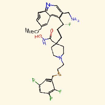 COc1ccc2ncc(CN)c([C@H](F)CCC3(C(=O)NO)CCN(CCSc4cc(F)cc(F)c4F)CC3)c2c1